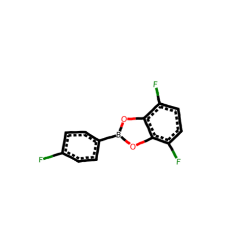 Fc1ccc(B2Oc3c(F)ccc(F)c3O2)cc1